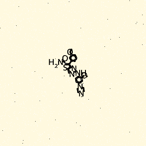 COc1cccc(-c2c(C(N)=O)sc3cnc(Nc4ccc(N5CCN(C)CC5)cc4OC)nc23)c1